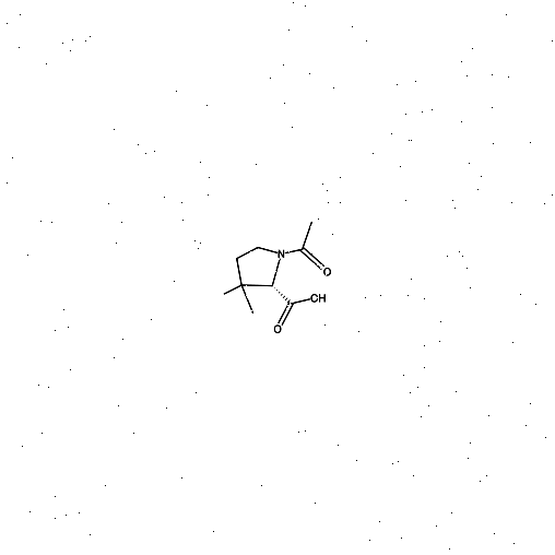 CC(=O)N1CCC(C)(C)[C@H]1C(=O)O